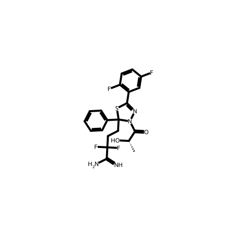 C[C@H](O)C(=O)N1N=C(c2cc(F)ccc2F)SC1(CCC(F)(F)C(=N)N)c1ccccc1